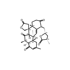 CC1=CC(=O)[C@@H]2[C@@H](C1)[C@]1(C)C=C3N(C[C@@H]4C[C@H](C)C(=O)O4)C(=O)CC[C@@]3(C)[C@]3(COC(=O)C3)[C@H]1C(=O)[C@@H]2C